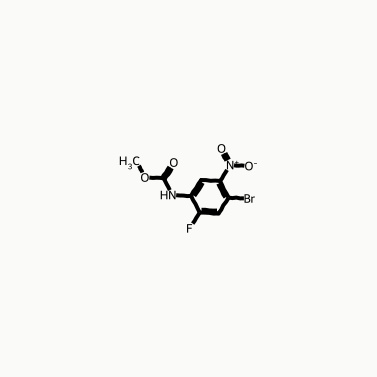 COC(=O)Nc1cc([N+](=O)[O-])c(Br)cc1F